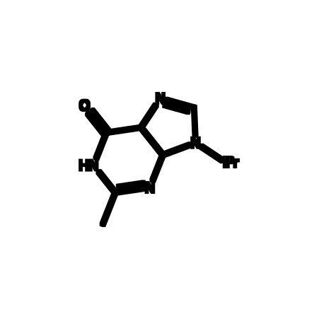 CC1=NC2C(N=CN2C(C)C)C(=O)N1